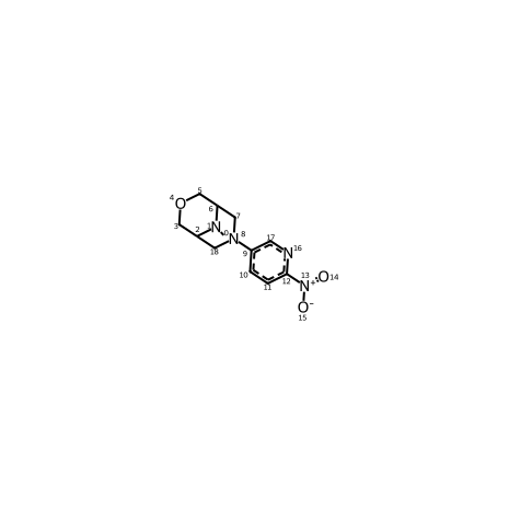 CN1C2COCC1CN(c1ccc([N+](=O)[O-])nc1)C2